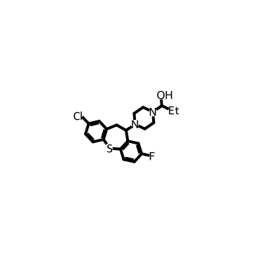 CCC(O)N1CCN(C2Cc3cc(Cl)ccc3Sc3ccc(F)cc32)CC1